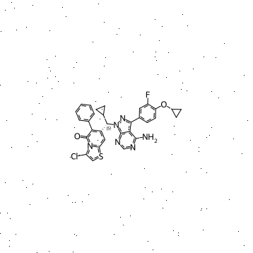 Nc1ncnc2c1c(-c1ccc(OC3CC3)c(F)c1)nn2[C@H](c1cc2scc(Cl)n2c(=O)c1-c1ccccc1)C1CC1